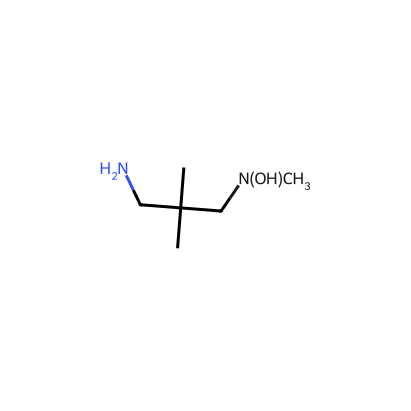 CN(O)CC(C)(C)CN